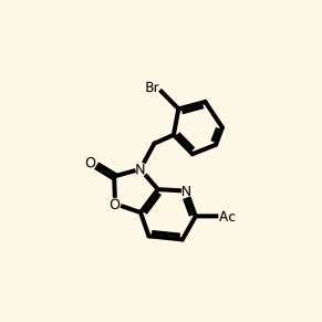 CC(=O)c1ccc2oc(=O)n(Cc3ccccc3Br)c2n1